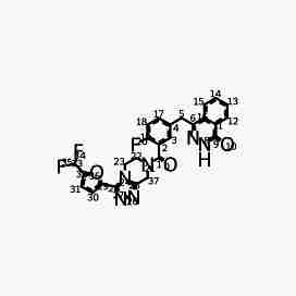 O=C(c1cc(Cc2n[nH]c(=O)c3ccccc23)ccc1F)N1CCn2c(nnc2-c2ccc(C(F)F)o2)C1